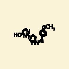 COc1ccc(C2CC2NC2CCN(c3nccc(O)n3)CC2)cc1